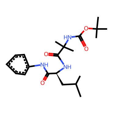 CC(C)C[C@H](NC(=O)C(C)(C)NC(=O)OC(C)(C)C)C(=O)Nc1ccccc1